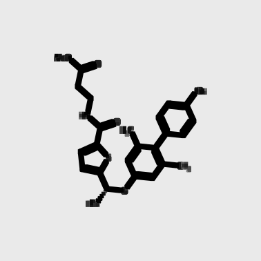 CCCC[C@@H](Oc1cc(C)c(-c2ccc(C(C)(C)C)cc2)c(C)c1)c1ccc(C(=O)NCCC(=O)OC)s1